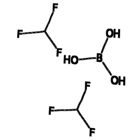 FC(F)F.FC(F)F.OB(O)O